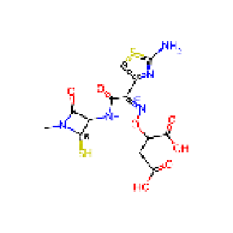 CN1C(=O)C(NC(=O)/C(=N\OC(CC(=O)O)C(=O)O)c2csc(N)n2)[C@H]1S